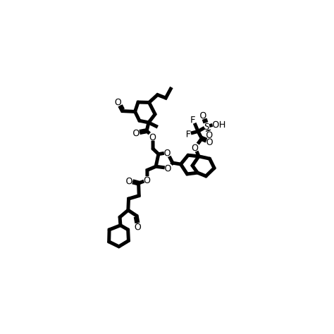 CCCC1CC(C=O)CC(C)(C(=O)OCC2OC(C3CC4CCCC(OC(=O)C(F)(F)S(=O)(=O)O)(C4)C3)OC2COC(=O)CCC(C=O)CC2CCCCC2)C1